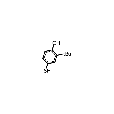 CC(C)(C)c1cc(S)ccc1O